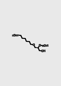 CCCCCCCCCCCCCCCCOC[C@H](CO)OCCCCCCCC